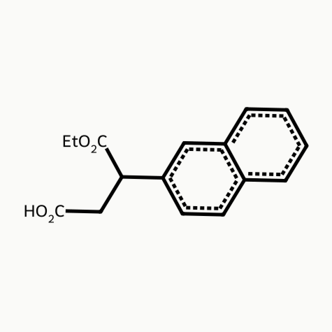 CCOC(=O)C(CC(=O)O)c1ccc2ccccc2c1